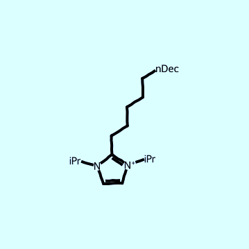 CCCCCCCCCCCCCCCc1n(C(C)C)cc[n+]1C(C)C